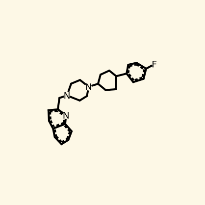 Fc1ccc(C2CCC(N3CCN(Cc4ccc5ccccc5n4)CC3)CC2)cc1